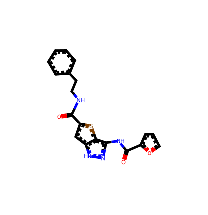 O=C(Nc1n[nH]c2cc(C(=O)NCCc3ccccc3)sc12)c1ccco1